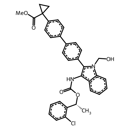 COC(=O)C1(c2ccc(-c3ccc(-c4c(NC(=O)O[C@H](C)c5ccccc5Cl)c5ccccc5n4CO)cc3)cc2)CC1